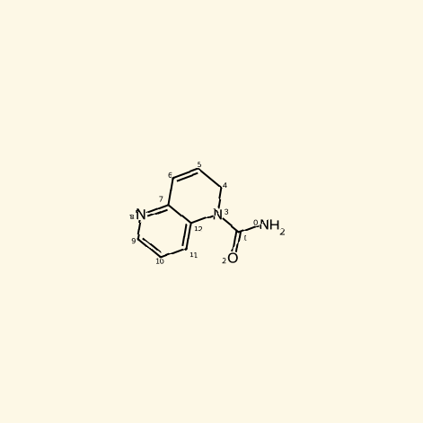 NC(=O)N1CC=Cc2ncccc21